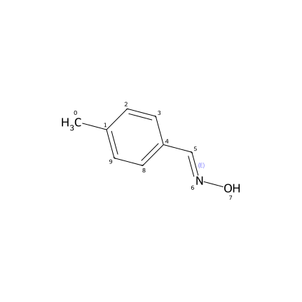 Cc1ccc(/C=N/O)cc1